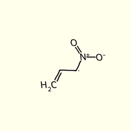 C=C[CH][N+](=O)[O-]